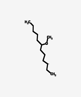 CC[CH]CCCC(CCCCC)OC